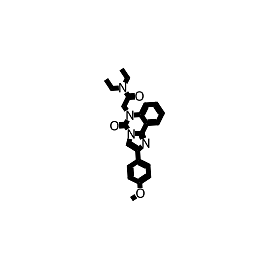 CCN(CC)C(=O)Cn1c(=O)n2cc(-c3ccc(OC)cc3)nc2c2ccccc21